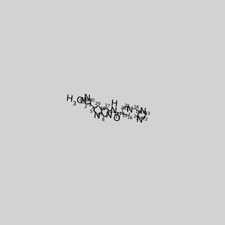 Cn1cc(-c2cnc3cnc(NC(=O)C4CCN(Cc5cnccn5)CC4)cc3c2)cn1